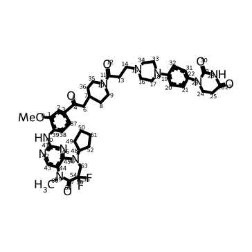 COc1cc(C(=O)CC2CCN(C(=O)CCN3CCN(c4ccc(N5CCC(=O)NC5=O)cc4)CC3)CC2)ccc1Nc1ncc2c(n1)N(C1CCCC1)CC(F)(F)C(=O)N2C